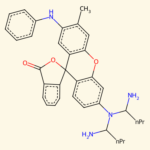 CCCC(N)N(c1ccc2c(c1)Oc1cc(C)c(Nc3ccccc3)cc1C21OC(=O)c2ccccc21)C(N)CCC